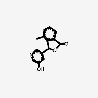 Cc1cccc2c1C(c1cncc(O)c1)OC2=O